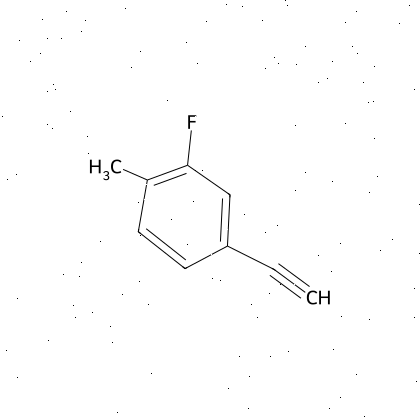 C#Cc1ccc(C)c(F)c1